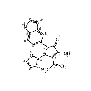 CC(=O)C1=C(O)C(=O)N(c2ccc3[nH]cnc3c2)C1c1ccco1